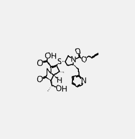 C=CCOC(=O)N1C[C@@H](SC2=C(C(=O)O)N3C(=O)[C@H]([C@@H](C)O)[C@H]3[C@H]2C)C[C@@H]1Cc1ccccn1